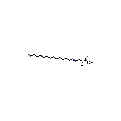 CCCCCCCCCCCCCC/C=C/CNC(=O)O